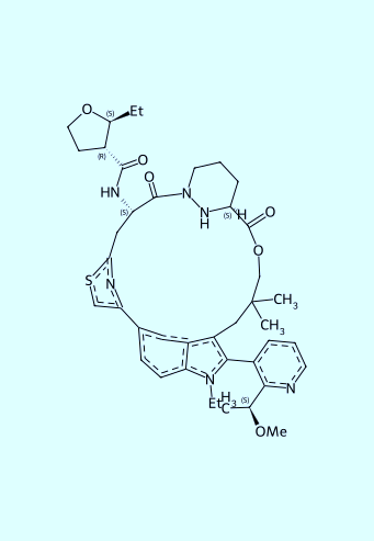 CC[C@@H]1OCC[C@H]1C(=O)N[C@H]1Cc2nc(cs2)-c2ccc3c(c2)c(c(-c2cccnc2[C@H](C)OC)n3CC)CC(C)(C)COC(=O)[C@@H]2CCCN(N2)C1=O